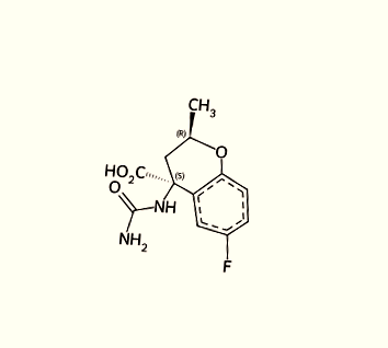 C[C@@H]1C[C@@](NC(N)=O)(C(=O)O)c2cc(F)ccc2O1